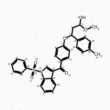 COC(O)CC(Oc1ccc(C(=O)c2cn(S(=O)(=O)c3ccccc3)c3ccccc23)cc1)c1ccc(C)cc1